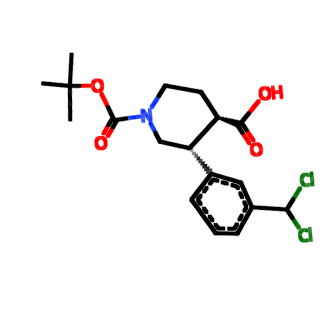 CC(C)(C)OC(=O)N1CC[C@@H](C(=O)O)[C@H](c2cccc(C(Cl)Cl)c2)C1